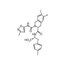 Cc1ccc(C[C@H](NC(=O)C2Cc3cc(I)c(I)cc3CN2C(=O)Nc2cc(C)no2)C(=O)O)cc1